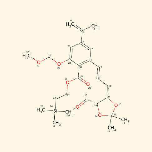 C=C(C)c1cc(/C=C/C[C@@H]2OC(C)(C)O[C@@H]2C=O)c(C(=O)OCC[Si](C)(C)C)c(OCOC)c1